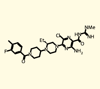 CC[C@H]1CN(c2nc(N)c(C(=O)NC(=N)NC)nc2Cl)CCN1C1CCN(C(=O)c2ccc(C)c(F)c2)CC1